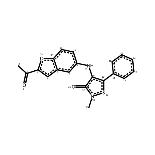 CC(=O)c1cc2cc(Nc3c(-c4ccccc4)sn(C)c3=O)ccc2o1